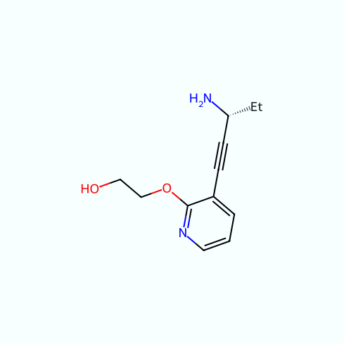 CC[C@@H](N)C#Cc1cccnc1OCCO